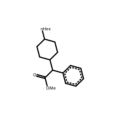 CCCCCCC1CCC(C(C(=O)OC)c2ccccc2)CC1